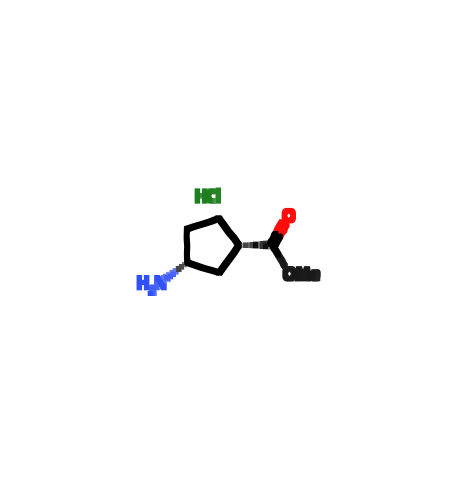 COC(=O)[C@H]1CC[C@@H](N)C1.Cl